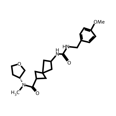 COc1ccc(CNC(=O)NC2CC3(C2)CC(C(=O)N(C)[C@@H]2CCOC2)C3)cc1